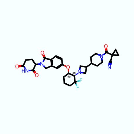 N#CC1(C(=O)N2CCC(C3CN([C@@H]4[C@H](Oc5ccc6c(c5)CN(C5CCC(=O)NC5=O)C6=O)CCCC4(F)F)C3)CC2)CC1